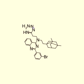 CC12CC3CC(C)(C1)CC(CCN(CCC(=N)/N=N\N)c1nc(-c4cccc(Br)c4)nc4ccccc14)(C3)C2